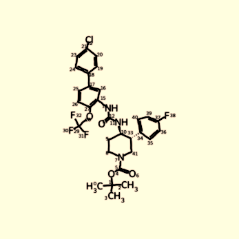 CC(C)(C)OC(=O)N1CC[C@@H](NC(=O)Nc2cc(-c3ccc(Cl)cc3)ccc2OC(F)(F)F)[C@H](c2ccc(F)cc2)C1